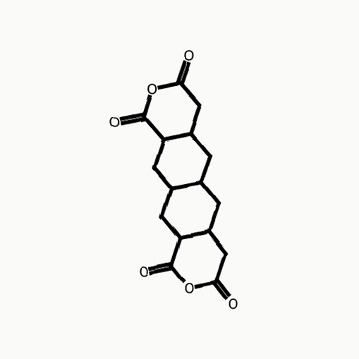 O=C1CC2CC3CC4CC(=O)OC(=O)C4CC3CC2C(=O)O1